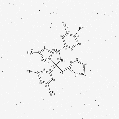 Cc1ccc(C(Cc2ccccc2)(NC(=O)c2ccc(F)c(C(F)(F)F)c2)c2cc(F)cc(C(F)(F)F)c2)o1